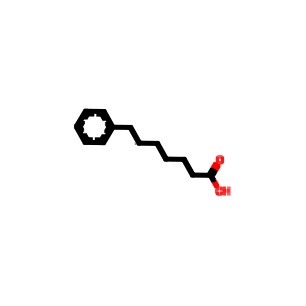 O=C(O)CCCC[CH]Cc1ccccc1